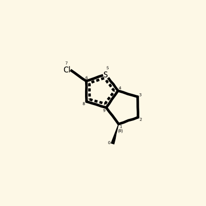 C[C@@H]1CCc2sc(Cl)cc21